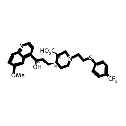 COc1ccc2nccc([C@H](O)CC[C@@H]3CCN(CCSc4ccc(C(F)(F)F)cc4)C[C@@H]3C(=O)O)c2c1